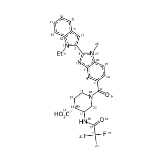 CCn1c(-c2nc3cc(C(=O)N4CC[C@@H](C(=O)O)C(NC(=O)C(C)(F)F)C4)ccc3n2C)cc2ccccc21